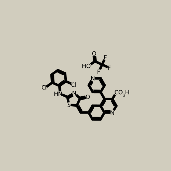 O=C(O)C(F)(F)F.O=C1N=C(Nc2c(Cl)cccc2Cl)SC1=Cc1ccc2ncc(C(=O)O)c(-c3ccncc3)c2c1